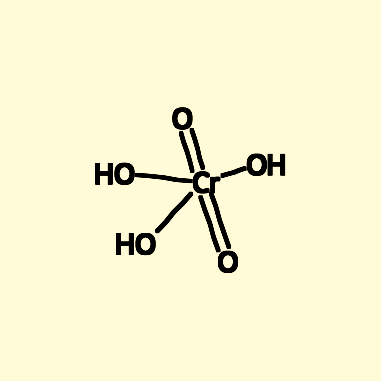 [O]=[Cr](=[O])([OH])([OH])[OH]